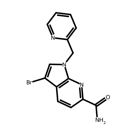 NC(=O)c1ccc2c(Br)cn(Cc3ccccn3)c2n1